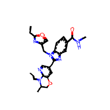 CCc1nc(Cn2c(-c3cnc4c(c3)OCC(C)N4CC)nc3cc(C(=O)NC)ccc32)co1